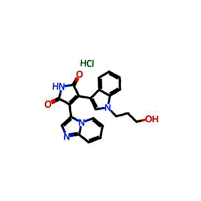 Cl.O=C1NC(=O)C(c2cnc3ccccn23)=C1c1cn(CCCO)c2ccccc12